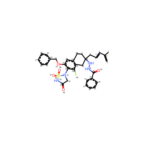 C=C(C)/C=C/CC1(NNC(=O)c2ccccc2)CCc2cc(OCc3ccccc3)c(N3CC(=O)NS3(=O)=O)c(F)c2C1